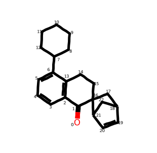 O=C1c2cccc(C3CCCCC3)c2CCC12CC1C=CC2C1